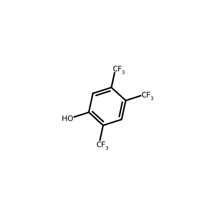 Oc1cc(C(F)(F)F)c(C(F)(F)F)cc1C(F)(F)F